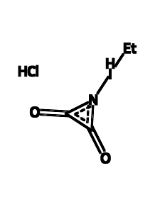 CC[IH]n1c(=O)c1=O.Cl